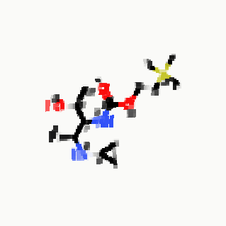 CC[C@H](NC1CC1)[C@H](NC(=O)OCCS(C)(C)C)[C@H](C)O